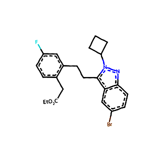 CCOC(=O)Cc1ccc(F)cc1CCc1c2cc(Br)ccc2nn1C1CCC1